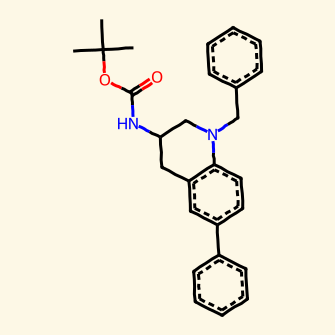 CC(C)(C)OC(=O)NC1Cc2cc(-c3ccccc3)ccc2N(Cc2ccccc2)C1